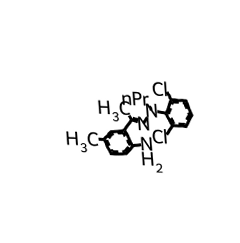 CCCN(/N=C(\C)c1cc(C)ccc1N)c1c(Cl)cccc1Cl